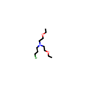 CCOCCN(CCCBr)CCOCC